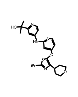 CC(C)c1nc(C2CCOCC2)c(Oc2ccnc(Nc3ccnc(C(C)(C)O)c3)c2)s1